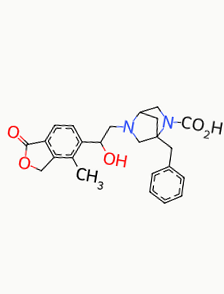 Cc1c(C(O)CN2CC3(Cc4ccccc4)CC2CN3C(=O)O)ccc2c1COC2=O